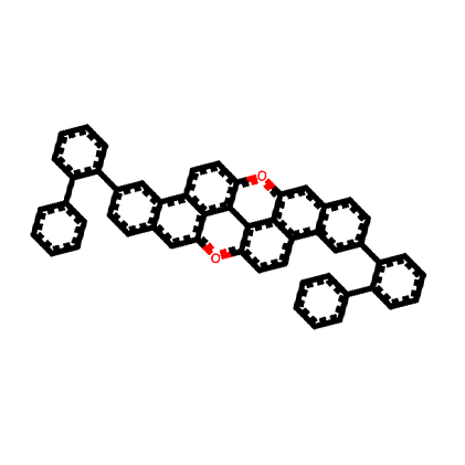 c1ccc(-c2ccccc2-c2ccc3cc4oc5ccc6c7cc(-c8ccccc8-c8ccccc8)ccc7cc7oc8ccc(c3c2)c4c8-c5c76)cc1